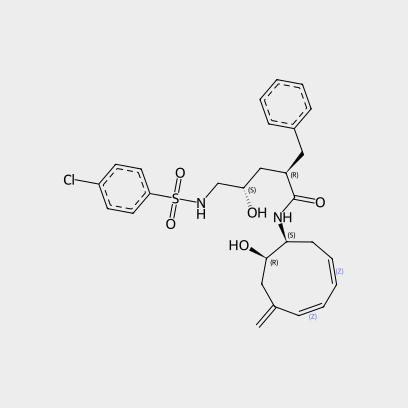 C=C1/C=C\C=C/C[C@H](NC(=O)[C@H](Cc2ccccc2)C[C@H](O)CNS(=O)(=O)c2ccc(Cl)cc2)[C@H](O)C1